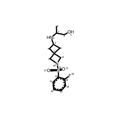 CC(CO)NC1CC2(C1)CN(S(=O)(=O)c1ccccc1F)C2